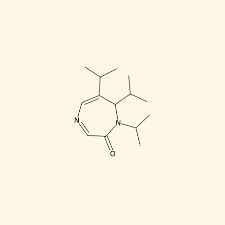 CC(C)C1=CN=CC(=O)N(C(C)C)C1C(C)C